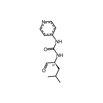 CC(C)C[C@@H]([C]=O)NC(=O)Nc1ccncc1